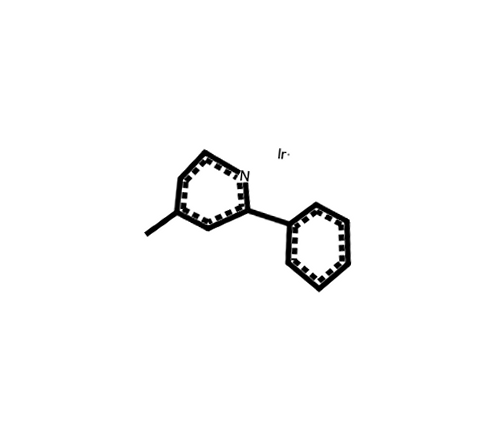 Cc1ccnc(-c2ccccc2)c1.[Ir]